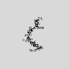 C=C1C[C@H]2C=Nc3cc(OCCCC(=O)Nc4nc(C(=O)Nc5cc(C(=O)Nc6cc(C(=O)n7ccc8cc(NP(=O)(O)OCCOC)ccc87)n(C)c6)n(C)c5)cs4)c(OC)cc3C(=O)N2C1